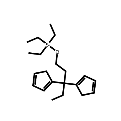 CCC(CCO[Si](CC)(CC)CC)(C1=CC=CC1)C1=CC=CC1